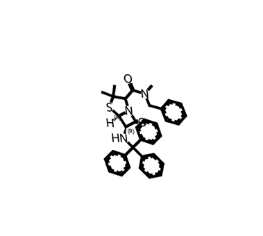 CN(Cc1ccccc1)C(=O)C1N2C(=O)[C@@H](NC(c3ccccc3)(c3ccccc3)c3ccccc3)[C@H]2SC1(C)C